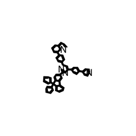 c1ccc(C2(c3ccccc3)c3ccccc3-c3cc(-c4nc(-c5ccc(-c6ccncc6)cc5)cc(-c5ccc(-c6cccc7cccnc67)cc5)n4)ccc32)cc1